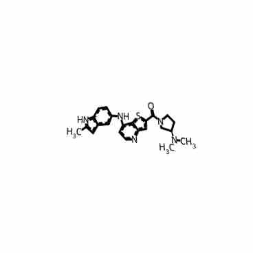 Cc1cc2cc(Nc3ccnc4cc(C(=O)N5CC[C@@H](N(C)C)C5)sc34)ccc2[nH]1